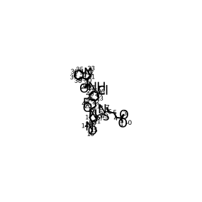 COC(=O)CCc1cnc([C@@H]2C[C@H](N(C)OC)CN2C(=O)Cc2cc(Cl)c(NC(=O)c3cn(C)c4ccccc34)cc2F)s1